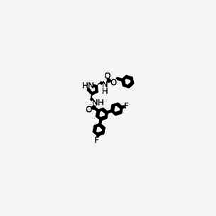 O=C(NC[C@@H]1C[C@@H](CNC(=O)c2cc(-c3ccc(F)cc3)cc(-c3ccc(F)cc3)c2)CN1)OCc1ccccc1